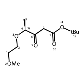 COCCO[C@@H](C)C(=O)CC(=O)OC(C)(C)C